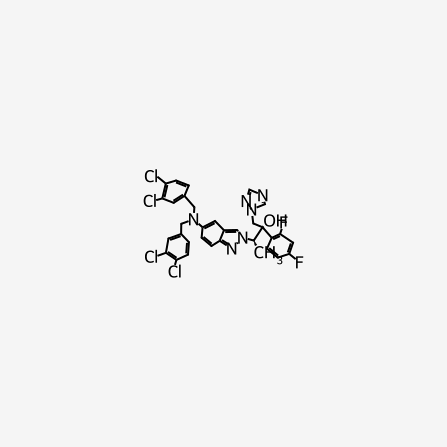 C[C@@H](n1cc2cc(N(Cc3ccc(Cl)c(Cl)c3)Cc3ccc(Cl)c(Cl)c3)ccc2n1)[C@](O)(Cn1cncn1)c1ccc(F)cc1F